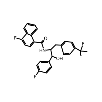 CC(F)(F)c1ccc(CC(NC(=O)c2ccc(F)c3ccccc23)C(O)c2ccc(F)cc2)cc1